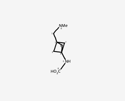 CNCC12CC(NC(=O)O)(C1)C2